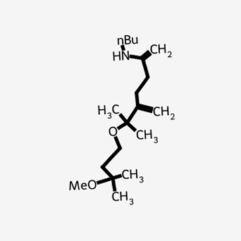 C=C(CCC(=C)C(C)(C)OCCC(C)(C)OC)NCCCC